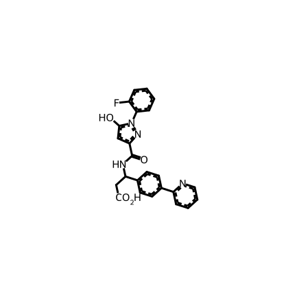 O=C(O)CC(NC(=O)c1cc(O)n(-c2ccccc2F)n1)c1ccc(-c2ccccn2)cc1